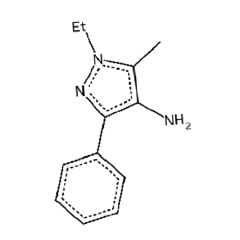 CCn1nc(-c2ccccc2)c(N)c1C